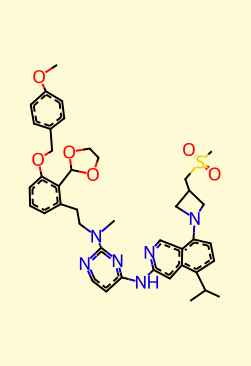 COc1ccc(COc2cccc(CCN(C)c3nccc(Nc4cc5c(C(C)C)ccc(N6CC(CS(C)(=O)=O)C6)c5cn4)n3)c2C2OCCO2)cc1